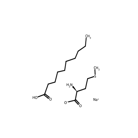 CCCCCCCCCC(=O)O.CSCC[C@H](N)C(=O)[O-].[Na+]